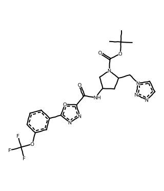 CC(C)(C)OC(=O)N1CC(NC(=O)c2nnc(-c3cccc(OC(F)(F)F)c3)o2)CC1Cn1ccnn1